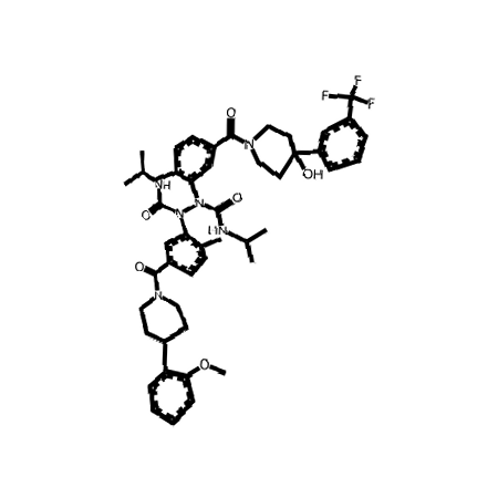 COc1ccccc1C1CCN(C(=O)c2ccc(C)c(N(C(=O)NC(C)C)N(C(=O)NC(C)C)c3cc(C(=O)N4CCC(O)(c5cccc(C(F)(F)F)c5)CC4)ccc3C)c2)CC1